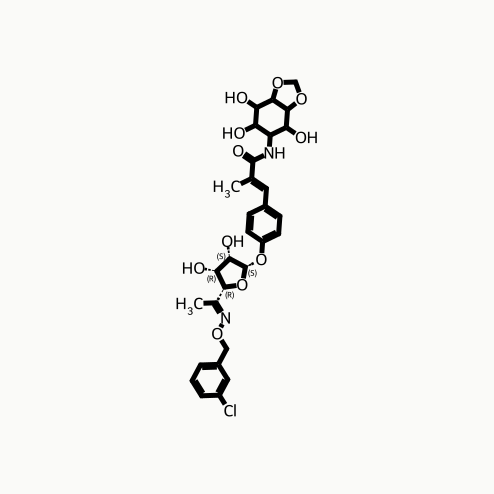 CC(=Cc1ccc(O[C@@H]2O[C@H](C(C)=NOCc3cccc(Cl)c3)[C@H](O)[C@@H]2O)cc1)C(=O)NC1C(O)C(O)C2OCOC2C1O